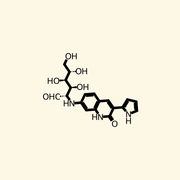 O=C[C@@H](Nc1ccc2cc(-c3ccc[nH]3)c(=O)[nH]c2c1)[C@H](O)[C@@H](O)[C@@H](O)CO